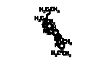 C=C(C)[C@H]1CC[C@@]2(C)OP(=S)(O[C@H]3CC[C@@]4(C)C(=CC[C@H]5[C@@H]6CC[C@H]([C@H](C)CCCC(C)C)[C@@]6(C)CC[C@@H]54)C3)S[C@@H]2C1